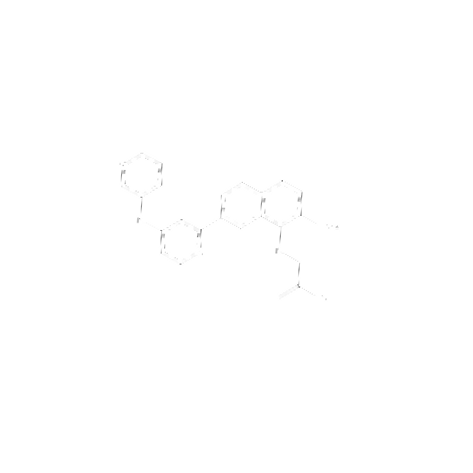 C=C(C#N)CNc1c(OC)ccc2ccc(-c3cc(Nc4cccnc4)ccn3)cc12